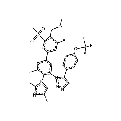 COCc1c(F)cc(-c2cc(F)c(-n3cc(C)nc3C)c(-n3nncc3-c3ccc(OC(F)(F)F)cc3)c2)cc1S(C)(=O)=O